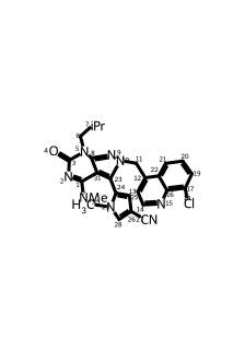 CNc1nc(=O)n(CC(C)C)c2nn(Cc3ccnc4c(Cl)cccc34)c(-c3cc(C#N)cn3C)c12